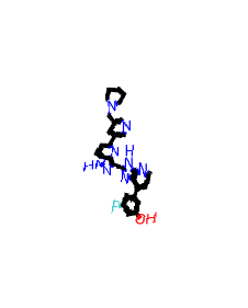 Oc1cc(F)cc(-c2ccnc3[nH]c(-c4n[nH]c5ccc(-c6cncc(CN7CCCCC7)c6)nc45)nc23)c1